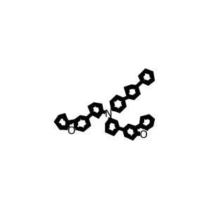 c1ccc(-c2ccc(-c3ccc(N(c4cccc(-c5ccc6oc7ccccc7c6c5)c4)c4cccc(-c5ccc6oc7ccccc7c6c5)c4)cc3)cc2)cc1